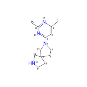 Cc1cc(N2CCC3(CCNC3)C2)nc(C)n1